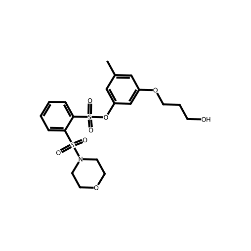 Cc1cc(OCCCO)cc(OS(=O)(=O)c2ccccc2S(=O)(=O)N2CCOCC2)c1